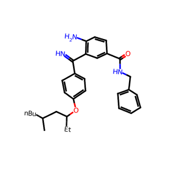 CCCCC(C)CC(CC)Oc1ccc(C(=N)c2cc(C(=O)NCc3ccccc3)ccc2N)cc1